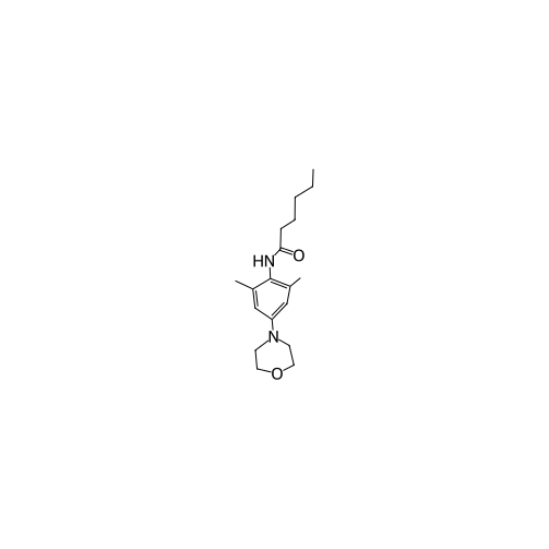 CCCCCC(=O)Nc1c(C)cc(N2CCOCC2)cc1C